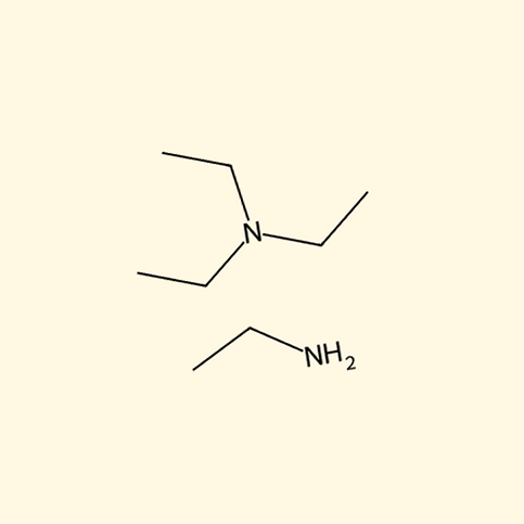 CCN.CCN(CC)CC